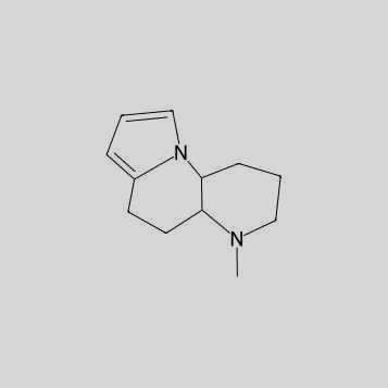 CN1CCCC2C1CCc1cccn12